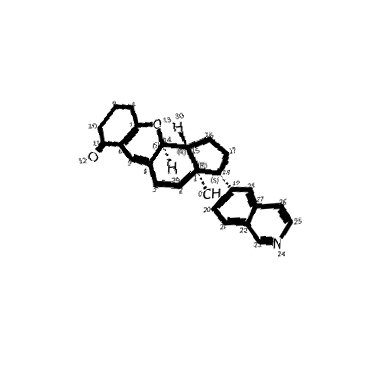 C[C@]12CCC3=CC4=C(CCCC4=O)O[C@H]3[C@@H]1CC[C@@H]2c1ccc2cnccc2c1